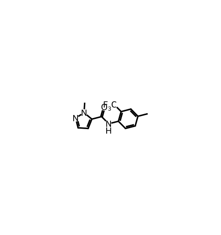 Cc1ccc(NC(=O)c2ccnn2C)c(C(F)(F)F)c1